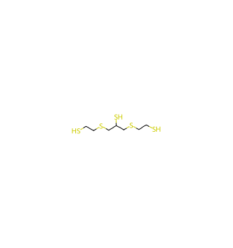 SCCSCC(S)CSCCS